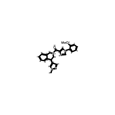 COc1ccccc1-n1cnc(C(=O)N2Cc3ccccc3C(c3cnn(C)c3)C2)c1